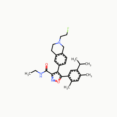 CCNC(=O)c1noc(-c2cc(C(C)C)c(C)cc2C)c1-c1ccc2c(c1)CCN(CCF)C2